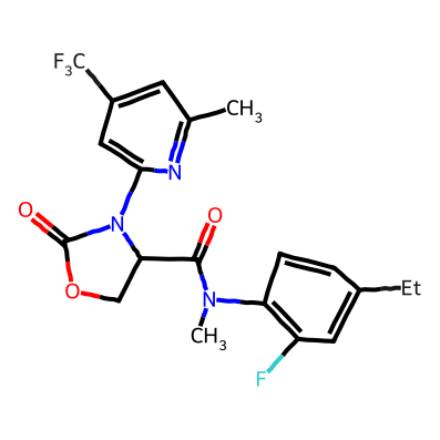 CCc1ccc(N(C)C(=O)C2COC(=O)N2c2cc(C(F)(F)F)cc(C)n2)c(F)c1